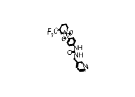 O=C(NCc1cccnc1)Nc1ccc(S(=O)(=O)N2CCCC(C(F)(F)F)C2)cc1